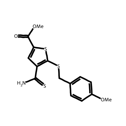 COC(=O)c1cc(C(N)=S)c(SCc2ccc(OC)cc2)s1